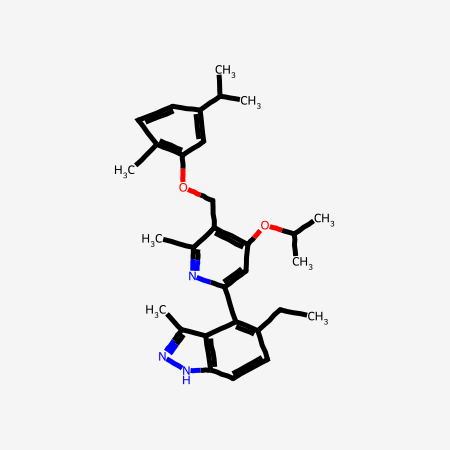 CCc1ccc2[nH]nc(C)c2c1-c1cc(OC(C)C)c(COc2cc(C(C)C)ccc2C)c(C)n1